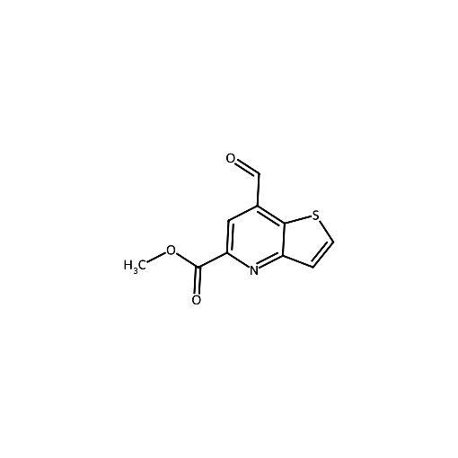 COC(=O)c1cc(C=O)c2sccc2n1